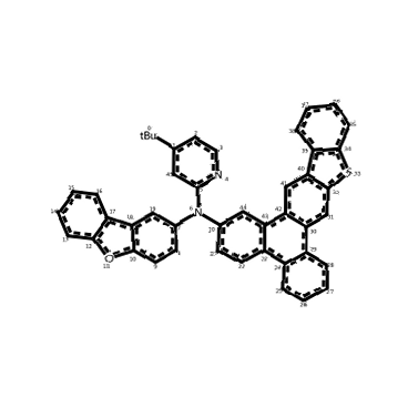 CC(C)(C)c1ccnc(N(c2ccc3oc4ccccc4c3c2)c2ccc3c4ccccc4c4cc5sc6ccccc6c5cc4c3c2)c1